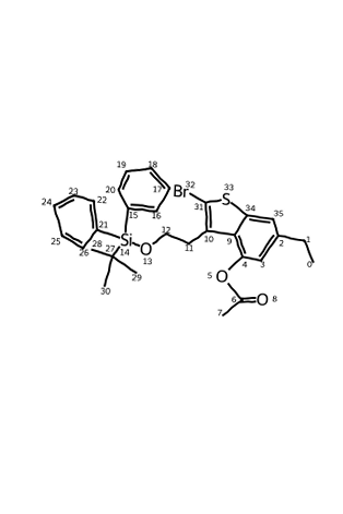 CCc1cc(OC(C)=O)c2c(CCO[Si](c3ccccc3)(c3ccccc3)C(C)(C)C)c(Br)sc2c1